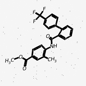 COC(=O)c1ccc(NC(=O)c2ccccc2-c2ccc(C(F)(F)F)cc2)c(C)c1